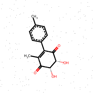 CC1=C(c2ccc(C)cc2)C(=O)[C@H](O)[C@H](O)C1=O